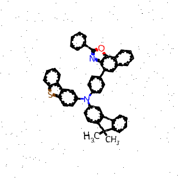 CC1(C)c2ccccc2-c2cc(N(c3ccc(-c4cc5ccccc5c5oc(-c6ccccc6)nc45)cc3)c3ccc4sc5ccccc5c4c3)ccc21